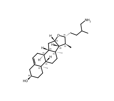 CC(CN)CC[C@H]1O[C@H]2C[C@H]3[C@@H]4CC=C5C[C@H](O)CC[C@]5(C)[C@H]4CC[C@]3(C)[C@H]2[C@@H]1C